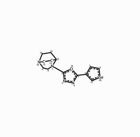 c1cc(-c2nnc(N3CCN4CCC3CC4)o2)c[se]1